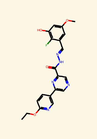 CCOc1ccc(-c2cncc(C(=O)N/N=C/c3cc(OC)cc(O)c3F)n2)cn1